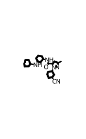 Cc1cc(C(=O)Nc2cccc(Nc3ccccc3)c2)n(-c2cccc(C#N)c2)n1